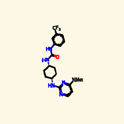 CNc1ccnc(N[C@H]2CC[C@@H](NC(=O)Nc3cccc(C(F)(F)F)c3)CC2)n1